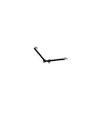 CC(C)CCCCCCCCCCCCCCCCCOC(=O)CCCCC(=O)OCCCCCCCCCCCCCCCCCC(C)C